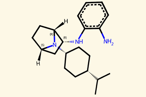 CC(C)[C@H]1CC[C@@H](N2[C@H]3CC[C@@H]2[C@H](Nc2ccccc2N)C3)CC1